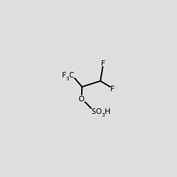 O=S(=O)(O)OC(C(F)F)C(F)(F)F